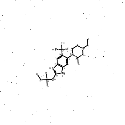 CCN1CCN(c2cc3[nH]c(SC(C)(C)CC)nc3cc2C(F)(F)F)C(C)C1